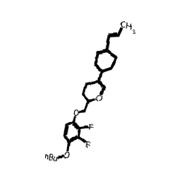 C/C=C/C1CCC(C2CCC(COc3ccc(OCCCC)c(F)c3F)OC2)CC1